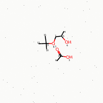 CC(=O)O.CC(O)COC(C)(C)C